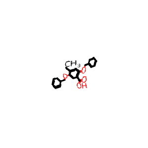 CCc1cc(OCc2ccccc2)c(C(=O)O)cc1OCc1ccccc1